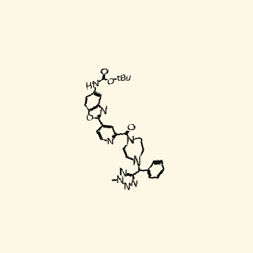 Cn1nnc(C(c2ccccc2)N2CCN(C(=O)c3cc(-c4nc5cc(NC(=O)OC(C)(C)C)ccc5o4)ccn3)CC2)n1